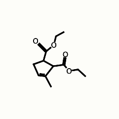 CCOC(=O)C1CC=C(C)C1C(=O)OCC